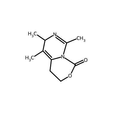 CC1=NC(C)C(C)=C2CCOC(=O)N12